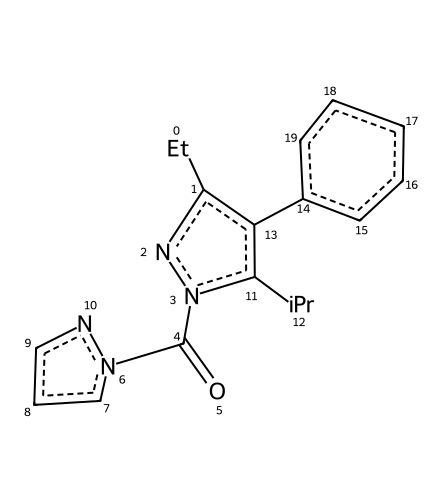 CCc1nn(C(=O)n2cccn2)c(C(C)C)c1-c1ccccc1